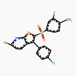 Cc1ccc(S(=O)(=O)c2sc3nc(Cl)ccc3c2-c2ccc(Cl)cc2)cc1F